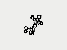 c1ccc2c(-c3nc(-c4ccc(-n5c6ccccc6c6c7ccccc7c7c8ccccc8sc7c65)cc4)nc4ncccc34)cccc2c1